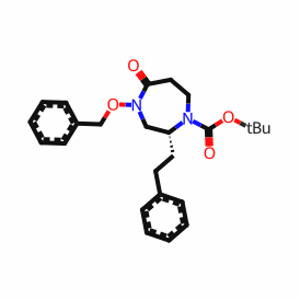 CC(C)(C)OC(=O)N1CCC(=O)N(OCc2ccccc2)C[C@H]1CCc1ccccc1